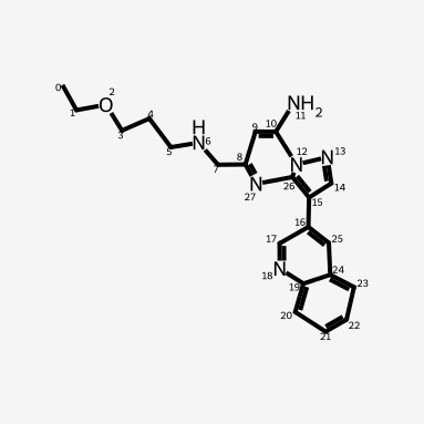 CCOCCCNCc1cc(N)n2ncc(-c3cnc4ccccc4c3)c2n1